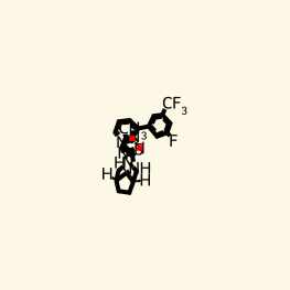 Cc1cc(N2C[C@H]3CC[C@@H](C2)[C@@H]3Nc2nc3c(-c4cc(F)cc(C(F)(F)F)c4)cccn3n2)sn1